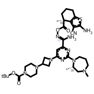 C[C@H]1CN(C)CCCN1c1nc(/C(N)=N/OC(=O)[C@@]2(C)CCCc3sc(N)c(C#N)c32)cc(N2CC(N3CCN(C(=O)OC(C)(C)C)CC3)C2)n1